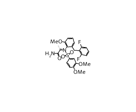 COc1ccc(S(=O)(=O)N(c2c(Cc3c(F)cccc3F)cccc2OC)[C@@H](C)C(N)=O)cc1OC